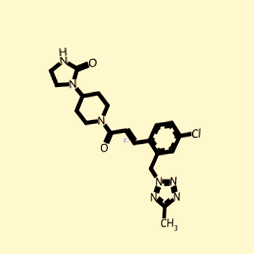 Cc1nnn(Cc2cc(Cl)ccc2/C=C/C(=O)N2CCC(N3CCNC3=O)CC2)n1